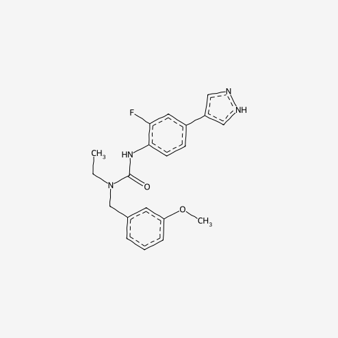 CCN(Cc1cccc(OC)c1)C(=O)Nc1ccc(-c2cn[nH]c2)cc1F